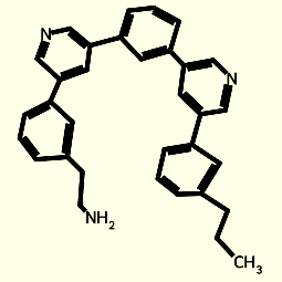 CCCc1cccc(-c2cncc(-c3cccc(-c4cncc(-c5cccc(CCN)c5)c4)c3)c2)c1